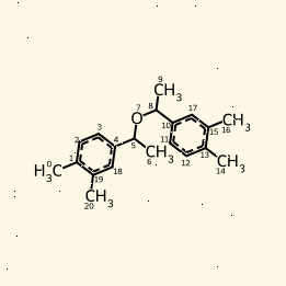 Cc1ccc(C(C)OC(C)c2ccc(C)c(C)c2)cc1C